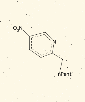 CCCCCCc1ccc([N+](=O)[O-])cn1